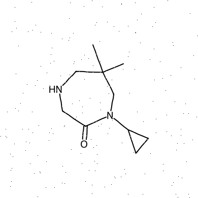 CC1(C)CNCC(=O)N(C2CC2)C1